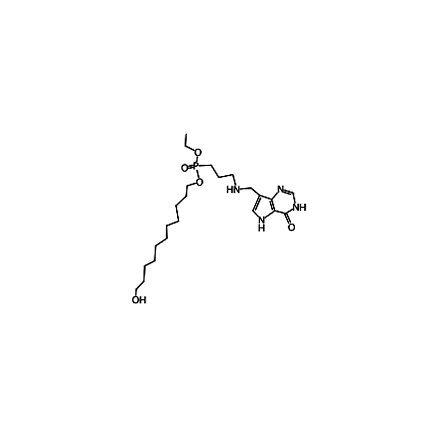 CCOP(=O)(CCCNCc1c[nH]c2c(=O)[nH]cnc12)OCCCCCCCCCCCO